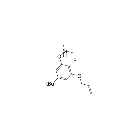 C=CCOc1cc(C(C)(C)C)cc(O[SiH](C)C)c1F